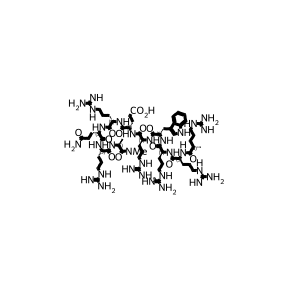 CNC(=O)[C@H](C)NC(=O)[C@H](CCCNC(=N)N)NC(=O)[C@H](CCC(N)=O)NC(=O)[C@H](CCCNC(=N)N)NC(=O)[C@H](CCC(=O)O)NC(=O)[C@H](CCCNC(=N)N)NC(=O)[C@H](Cc1c[nH]c2ccccc12)NC(=O)[C@H](CCCNC(=N)N)NC(=O)[C@H](CCCNC(=N)N)NC(=O)[C@@H](C)CCCNC(=N)N